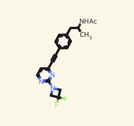 CC(=O)NC(C)Cc1ccc(C#Cc2ccnc(N3CC(F)(F)C3)n2)cc1